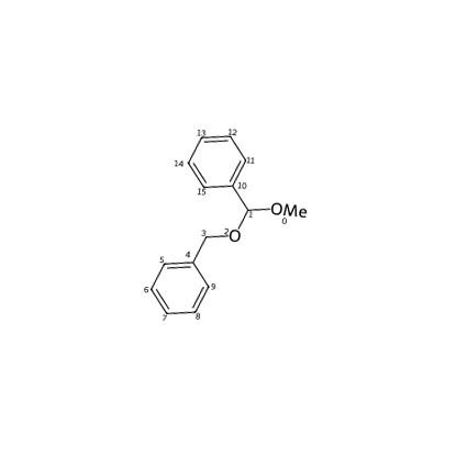 COC(OCc1ccccc1)c1ccccc1